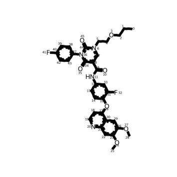 CCCOCCn1cc(C(=O)Nc2ccc(Oc3ccnc4cc(OC)c(OC)cc34)c(F)c2)c(=O)n(-c2ccc(F)cc2)c1=O